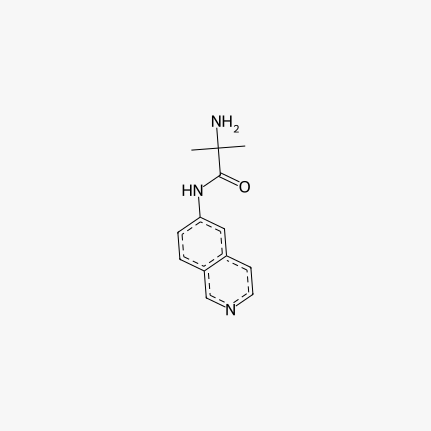 CC(C)(N)C(=O)Nc1ccc2cnccc2c1